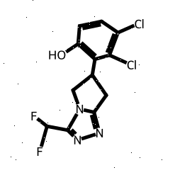 Oc1ccc(Cl)c(Cl)c1C1Cc2nnc(C(F)F)n2C1